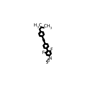 CCC(C)Cc1ccc(C#Cc2ccc(-c3c(F)cc(N=C=S)cc3F)cc2)cc1